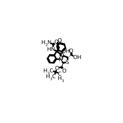 CC(C)(C)OC(=O)[C@@H]1S[C@@H](C(=O)O)[C@H](c2ccccc2)N1c1ccccc1C(CC=O)(NC(N)=O)C(=O)O